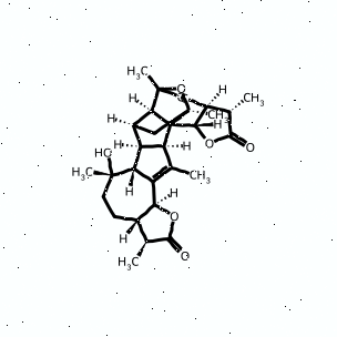 CC1=C2[C@H]3OC(=O)[C@@H](C)[C@@H]3CC[C@](C)(O)[C@@H]2[C@H]2[C@@H]3C[C@@]4(C)OC5(C)CC[C@H]6[C@H](C)C(=O)O[C@@H]6C4([C@@H]12)[C@@H]35